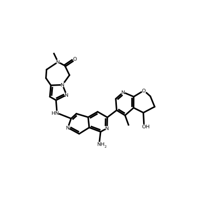 Cc1c(-c2cc3cc(Nc4cc5n(n4)CC(=O)N(C)CC5)ncc3c(N)n2)cnc2c1C(O)CCO2